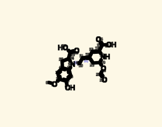 COc1cc2c(cc1O)/[N+](=C/C=C1/C=C(C(=O)O)NC(OC=O)C1)C(C(=O)O)C2